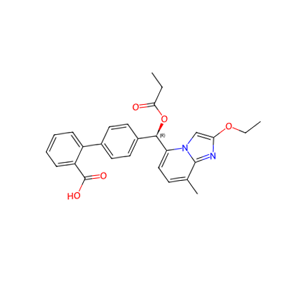 CCOc1cn2c([C@H](OC(=O)CC)c3ccc(-c4ccccc4C(=O)O)cc3)ccc(C)c2n1